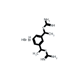 Br.Br.CC(SC(=N)N)c1cccc(C(C)SC(=N)N)c1